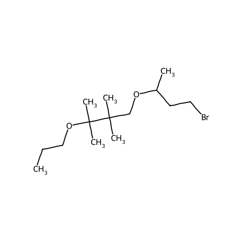 CCCOC(C)(C)C(C)(C)COC(C)CCBr